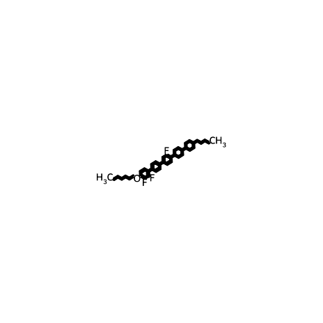 CCCCCCCOc1ccc(-c2ccc(-c3ccc(C4CCC(C5CCC(CCCCC)CC5)CC4)c(F)c3)cc2)c(F)c1F